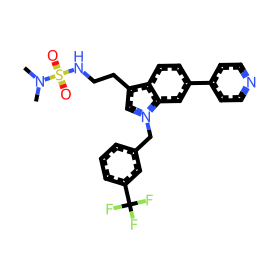 CN(C)S(=O)(=O)NCCc1cn(Cc2cccc(C(F)(F)F)c2)c2cc(-c3ccncc3)ccc12